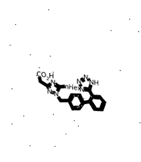 CCCCCCc1nc(CC(=O)O)nn1Cc1ccc(-c2ccccc2-c2nnn[nH]2)cc1